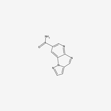 NC(=O)c1cnc2ncc3ccnn3c2c1